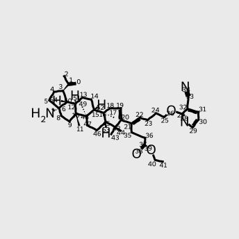 C=C(C)[C@@H]1CC[C@]2(N)CC[C@]3(C)[C@H](CC[C@@H]4[C@@]5(C)CC=C(/C(=C/CCCOc6ncccc6C#N)CCC(=O)OCC)C(C)(C)[C@@H]5CC[C@]43C)[C@@H]12